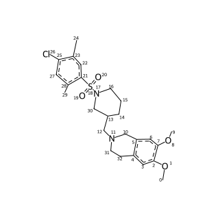 COc1cc2c(cc1OC)CN(CC1CCCN(S(=O)(=O)c3cc(C)c(Cl)cc3C)C1)CC2